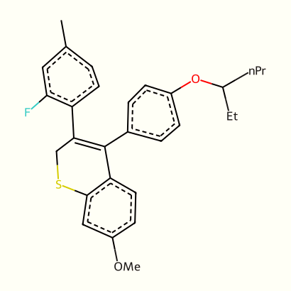 CCCC(CC)Oc1ccc(C2=C(c3ccc(C)cc3F)CSc3cc(OC)ccc32)cc1